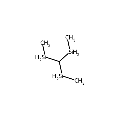 C[SiH2]C([SiH2]C)[SiH2]C